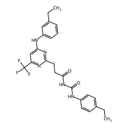 CCc1ccc(NC(=O)NC(=O)CSc2nc(Nc3cccc(CC)c3)cc(C(F)(F)F)n2)cc1